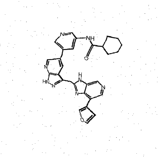 O=C(Nc1cncc(-c2cnc3[nH]nc(-c4nc5c(-c6ccoc6)cncc5[nH]4)c3c2)c1)C1CCCCC1